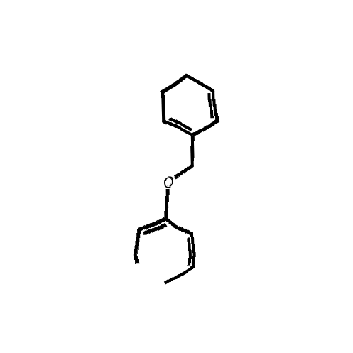 C/C=C\C(=C/C)OCC1=CCCC=C1